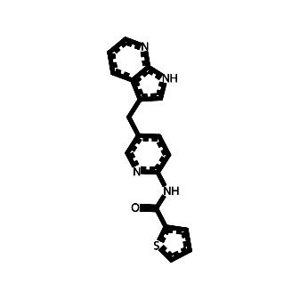 O=C(Nc1ccc(Cc2c[nH]c3ncccc23)cn1)c1cccs1